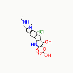 CCNCc1cc2cc3c(cc2n1C)Cc1c-3[nH]c(=O)c(OC(=O)O)c1O.Cl